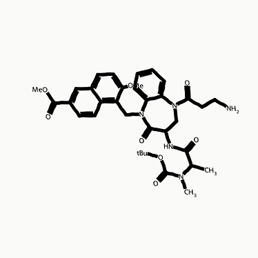 COC(=O)c1ccc2c(CN3C(=O)C(NC(=O)C(C)N(C)C(=O)OC(C)(C)C)CN(C(=O)CCN)c4ccccc43)c(OC)ccc2c1